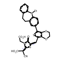 CCN1c2ccccc2CCc2cc(-c3sc(/C=c4/s/c(=C(\C#N)C(=O)O)n(CC(=O)O)c4=O)c4c3OCCO4)ccc21